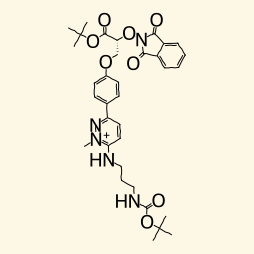 C[n+]1nc(-c2ccc(OC[C@@H](ON3C(=O)c4ccccc4C3=O)C(=O)OC(C)(C)C)cc2)ccc1NCCCNC(=O)OC(C)(C)C